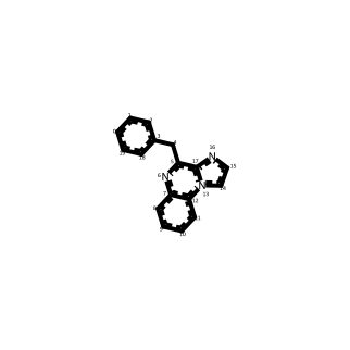 c1ccc(Cc2nc3ccccc3n3ccnc23)cc1